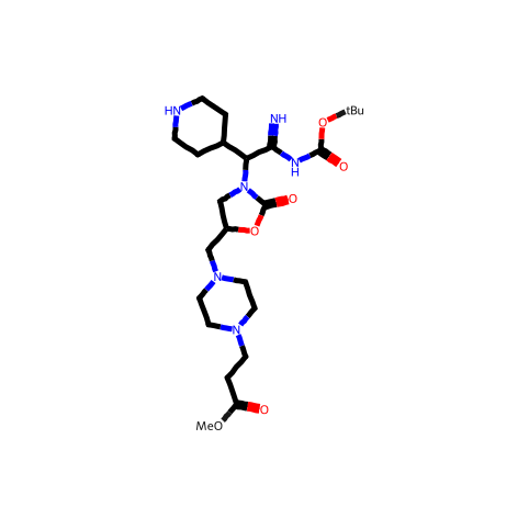 COC(=O)CCN1CCN(CC2CN(C(C(=N)NC(=O)OC(C)(C)C)C3CCNCC3)C(=O)O2)CC1